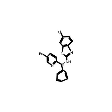 Clc1ccc2nc(N[C@H](c3ccccc3)c3ccc(Br)cn3)oc2c1